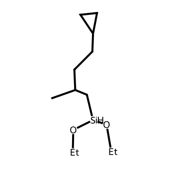 CCO[SiH](CC(C)CCC1CC1)OCC